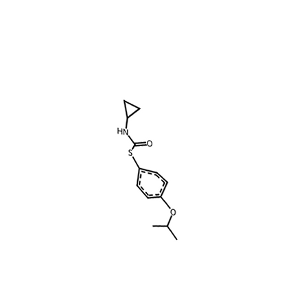 CC(C)Oc1ccc(SC(=O)NC2CC2)cc1